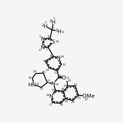 [2H]C([2H])([2H])c1nnc(-c2ccc(C(=O)N(c3nccc4cc(OC)cc(C)c34)[C@@H]3CCCNC3)cn2)s1